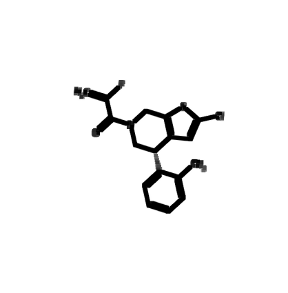 C=C(F)C(=O)N1Cc2sc(Cl)cc2[C@H](c2ccccc2C)C1